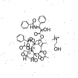 CC(=O)O[C@H]1C(=O)[C@@]2(C)[C@H]([C@H](OC(=O)c3ccccc3)[C@]3(O)C[C@H](OC(=O)[C@H](O)[C@@H](NC(=O)c4ccccc4)c4ccccc4)C(C)=C1C3(C)C)[C@]1(OC(C)=O)CO[C@@H]1C[C@@H]2O.C[N+](C)(C)CCO